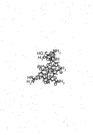 CC[C@H](C)[C@H](NC(=O)[C@H](CC(C)C)NC(=O)[C@H](CCCNC(=N)N)NC(=O)[C@H](CO)NC(=O)[C@H](CCC(N)=O)NC(=O)[C@@H](N)CCC(N)=O)C(=O)N1CCC[C@H]1C(=O)N[C@@H](CC(N)=O)C(=O)N[C@H](C(=O)O)[C@@H](C)O